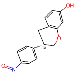 O=Nc1ccc([C@H]2COc3cc(O)ccc3C2)cc1